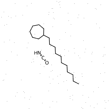 CCCCCCCCCCCC1CCCCCC1.N=C=O